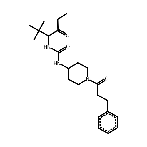 CCC(=O)C(NC(=O)NC1CCN(C(=O)CCc2ccccc2)CC1)C(C)(C)C